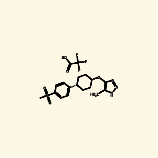 CS(=O)(=O)c1ccc([C@H]2CC[C@H](Sc3nn[nH]c3C(=O)O)CC2)cc1.O=C(O)C(F)(F)F